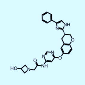 O=C(CN1CC(O)C1)Nc1cc(Oc2ccc3c(c2)C[C@@H](c2nc(-c4ccccc4)c[nH]2)CO3)ncn1